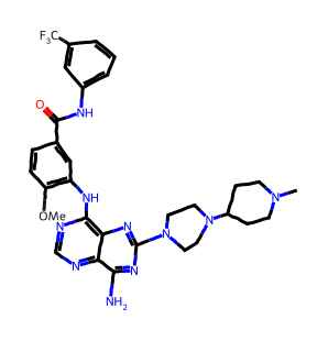 COc1ccc(C(=O)Nc2cccc(C(F)(F)F)c2)cc1Nc1ncnc2c(N)nc(N3CCN(C4CCN(C)CC4)CC3)nc12